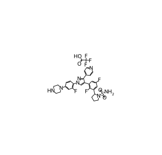 NS(=O)(=O)N1CCCC1c1cc(F)cc(-c2cn(-c3ccc(N4CCNCC4)cc3F)nc2-c2ccncc2)c1F.O=C(O)C(F)(F)F